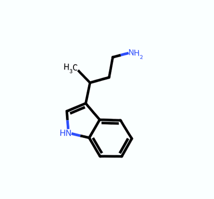 CC(CCN)c1c[nH]c2ccccc12